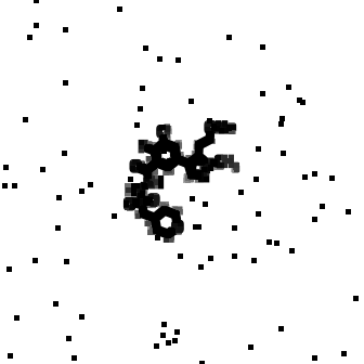 COCCc1c(-c2cc(Cl)c(F)c(C(=O)NNS(=O)(=O)CC3CCOCC3)c2)cnn1C